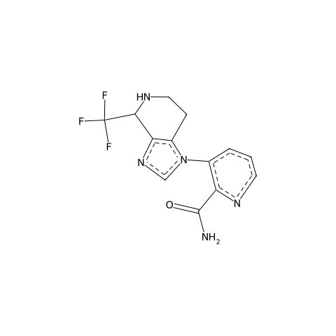 NC(=O)c1ncccc1-n1cnc2c1CCNC2C(F)(F)F